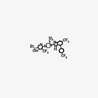 CC[C@@H](O)c1cnc(N2CCN(c3nc4cc(C(F)(F)F)cc(-c5ccc(C(F)(F)F)cc5)c4[nH]3)[C@H](C)C2)c(C(F)(F)F)c1